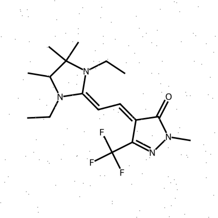 CCN1/C(=C/C=C2/C(=O)N(C)N=C2C(F)(F)F)N(CC)C(C)(C)C1C